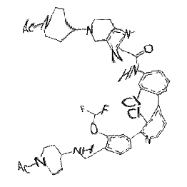 CC(=O)N1CCC(NCc2ccc(-c3nccc(-c4cccc(NC(=O)c5nc6c(n5C)CCN(C5CCN(C(C)=O)CC5)C6)c4Cl)c3Cl)cc2OC(F)F)CC1